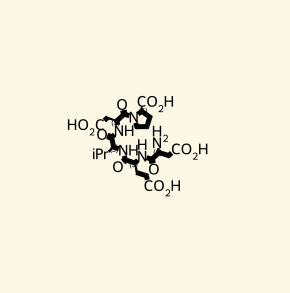 CC(C)[C@H](NC(=O)[C@H](CCC(=O)O)NC(=O)[C@@H](N)CC(=O)O)C(=O)N[C@@H](CC(=O)O)C(=O)N1CCC[C@H]1C(=O)O